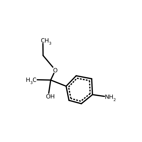 CCOC(C)(O)c1ccc(N)cc1